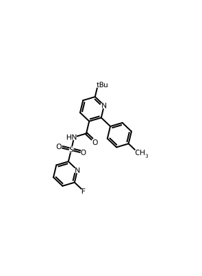 Cc1ccc(-c2nc(C(C)(C)C)ccc2C(=O)NS(=O)(=O)c2cccc(F)n2)cc1